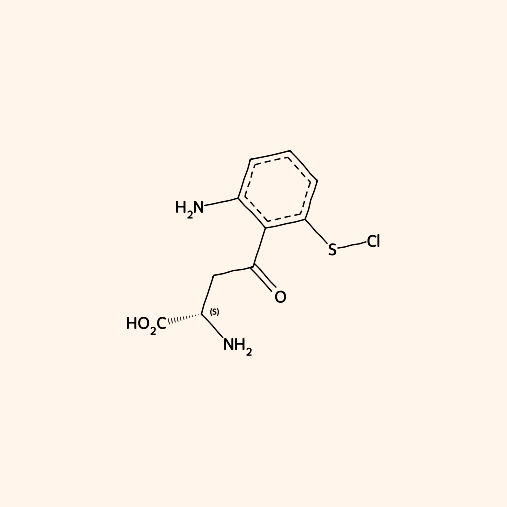 Nc1cccc(SCl)c1C(=O)C[C@H](N)C(=O)O